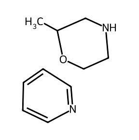 CC1CNCCO1.c1ccncc1